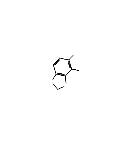 O=Cc1ccc2c(c1C(=O)O)OCO2